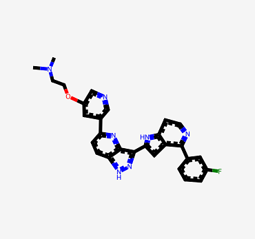 CN(C)CCOc1cncc(-c2ccc3[nH]nc(-c4cc5c(-c6cccc(F)c6)nccc5[nH]4)c3n2)c1